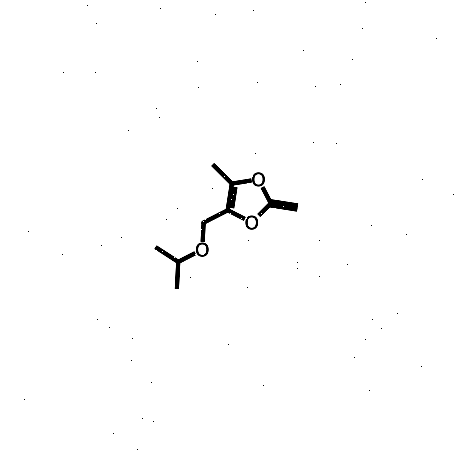 C=C1OC(C)=C(COC(C)C)O1